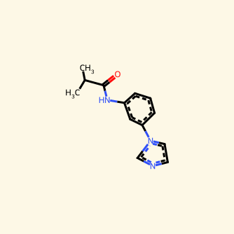 CC(C)C(=O)Nc1cccc(-n2ccnc2)c1